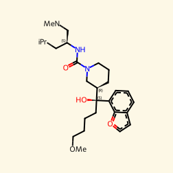 CNC[C@H](CC(C)C)NC(=O)N1CCC[C@@H]([C@@](O)(CCCCOC)c2cccc3ccoc23)C1